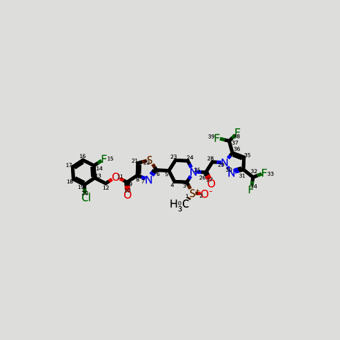 C[S+]([O-])C1CC(c2nc(C(=O)OCc3c(F)cccc3Cl)cs2)CCN1C(=O)Cn1nc(C(F)F)cc1C(F)F